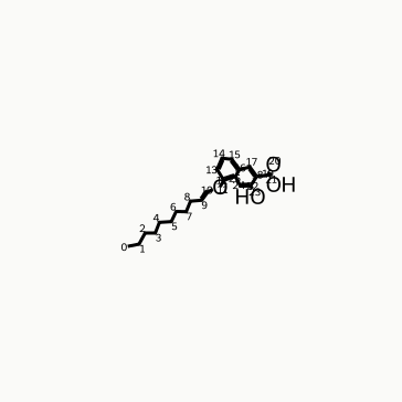 CCCCCCCCCC=COc1cccc2cc(C(=O)O)c(O)cc12